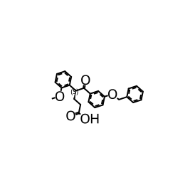 COc1ccccc1[C@H](CCC(=O)O)C(=O)c1cccc(OCc2ccccc2)c1